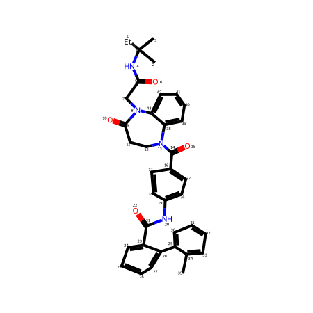 CCC(C)(C)NC(=O)CN1C(=O)CCN(C(=O)c2ccc(NC(=O)c3ccccc3-c3ccccc3C)cc2)c2ccccc21